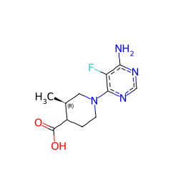 C[C@H]1CN(c2ncnc(N)c2F)CCC1C(=O)O